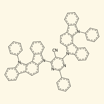 N#Cc1c(-n2c3ccccc3c3c2ccc2c4ccccc4n(-c4ccccc4)c23)nc(-c2ccccc2)nc1-n1c2ccccc2c2c1ccc1c3ccccc3n(-c3ccccc3)c12